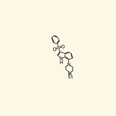 CCN1CCN(c2cccc3c(S(=O)(=O)c4ccccc4)c[nH]c23)CC1